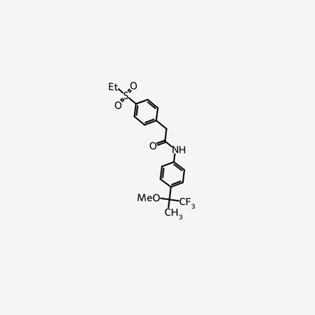 CCS(=O)(=O)c1ccc(CC(=O)Nc2ccc(C(C)(OC)C(F)(F)F)cc2)cc1